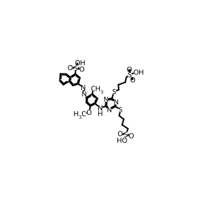 COc1cc(N=Nc2cc(S(=O)(=O)O)c3ccccc3c2)c(C)cc1Nc1nc(SCCCCS(=O)(=O)O)nc(SCCCCS(=O)(=O)O)n1